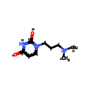 CN(CCCn1ccc(=O)[nH]c1=O)C(C)(C)C